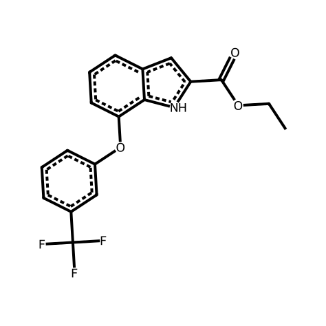 CCOC(=O)c1cc2cccc(Oc3cccc(C(F)(F)F)c3)c2[nH]1